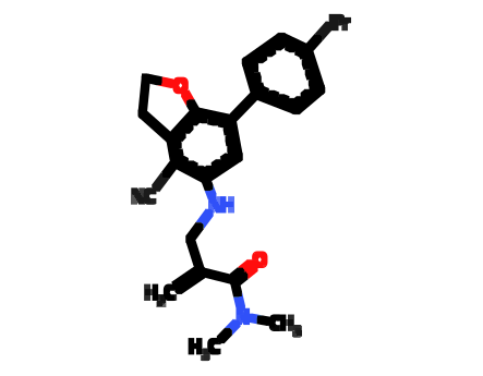 C=C(CNc1cc(-c2ccc(C(C)C)cc2)c2c(c1C#N)CCO2)C(=O)N(C)C